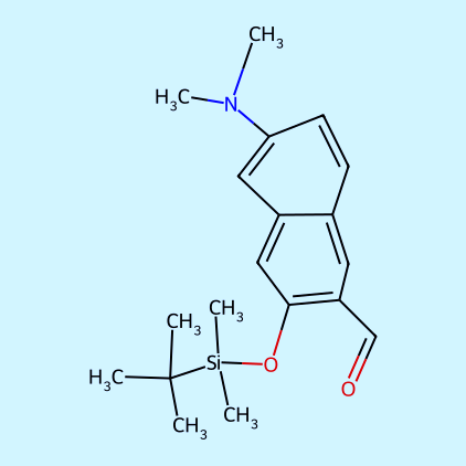 CN(C)c1ccc2cc(C=O)c(O[Si](C)(C)C(C)(C)C)cc2c1